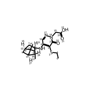 CCSc1c(N[C@@H]2C[C@@H]3C[C@H]([C@H]2C)C3(C)C)cnn(CC(=O)O)c1=O